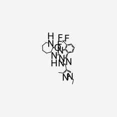 CCn1cc(-c2nc3c4cccc(C(F)(F)F)c4nc(N[C@@H]4CCCCNC4=O)n3n2)c(C)n1